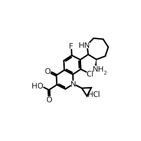 Cl.N[C@@H]1CCCCNC1c1c(F)cc2c(=O)c(C(=O)O)cn(C3CC3)c2c1Cl